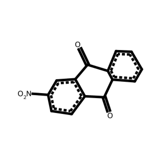 O=C1c2ccccc2C(=O)c2cc([N+](=O)[O-])ccc21